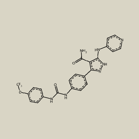 NC(=O)c1c(-c2ccc(NC(=O)Nc3ccc(OC(F)(F)F)cc3)cc2)n[nH]c1Nc1ccncc1